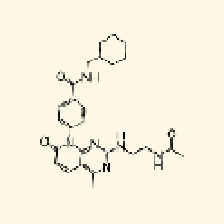 CC(=O)NCCNc1nc(C)c2ccc(=O)n(-c3ccc(C(=O)NCC4CCCCC4)cc3)c2n1